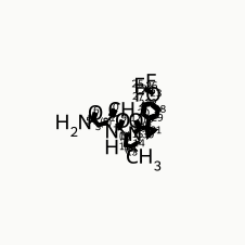 C#C[C@H](CC(N)=O)NC(=O)[C@@H]1C[C@H](C)CN1C(=O)C1(c2ccc(OC(F)(F)F)cc2)CC1